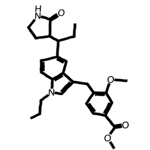 CCCn1cc(Cc2ccc(C(=O)OC)cc2OC)c2cc(C(CC)C3CCNC3=O)ccc21